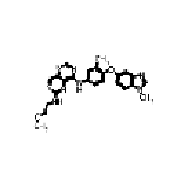 COCCNc1ncc2ncnc(Nc3ccc(Oc4ccc5c(c4)ncn5C)c(C)c3)c2n1